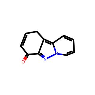 O=C1C=CCc2c1nn1ccccc21